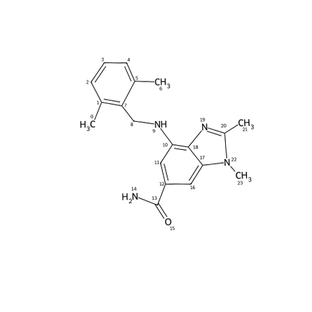 Cc1cccc(C)c1CNc1cc(C(N)=O)cc2c1nc(C)n2C